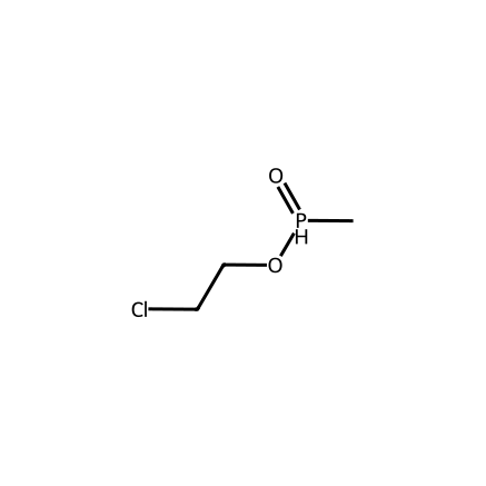 C[PH](=O)OCCCl